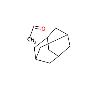 C1C2CC3CC1CC(C2)C3.CC=O